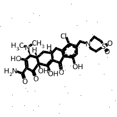 CN(C)[C@@H]1C(O)=C(C(N)=O)C(=O)[C@@]2(O)C(O)=C3C(=O)c4c(O)cc(CN5CCS(=O)(=O)CC5)c(Cl)c4C[C@H]3C[C@@H]12